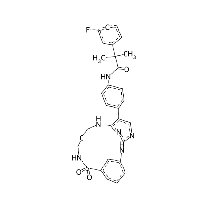 CC(C)(C(=O)Nc1ccc(-c2cnc3nc2NCCCNS(=O)(=O)c2cccc(c2)N3)cc1)c1cccc(F)c1